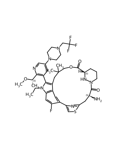 CCn1c(-c2cc(N3CCN(CC(F)(F)F)CC3)cnc2[C@H](C)OC)c2c3cc(c(F)cc31)-c1csc(n1)C[C@H](N)C(=O)N1CCC[C@H](N1)C(=O)OCC(C)(C)C2